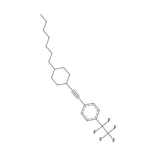 CCCCCCCC1CCC(C#Cc2ccc(C(F)(F)C(F)(F)F)cc2)CC1